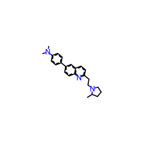 CC1CCCN1CCc1ccc2cc(-c3ccc(N(C)C)cc3)ccc2n1